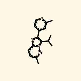 Cc1cc(-c2nc3ccc(C)nn3c2C(C)C)ccn1